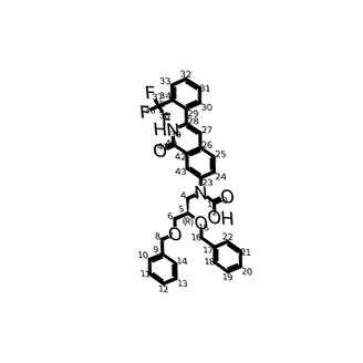 O=C(O)N(C[C@H](COCc1ccccc1)OCc1ccccc1)c1ccc2cc(-c3ccccc3C(F)(F)F)[nH]c(=O)c2c1